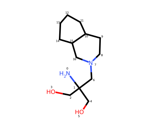 NC(CO)(CO)CN1CCC2CCCCC2C1